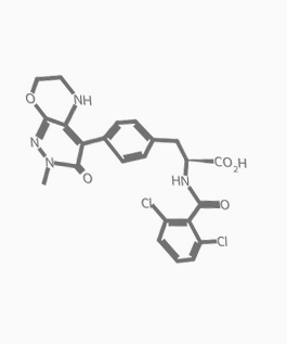 Cn1nc2c(c(-c3ccc(C[C@H](NC(=O)c4c(Cl)cccc4Cl)C(=O)O)cc3)c1=O)NCCO2